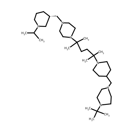 CC(C)N1CCC[C@H](CN2CCN(C(C)(C)CCC(C)(C)N3CCC(CN4CCN(C(C)(C)C)CC4)CC3)CC2)C1